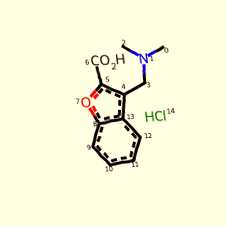 CN(C)Cc1c(C(=O)O)oc2ccccc12.Cl